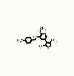 COc1ncc(C2=C(C)CN=C2C)cc1NCc1ccc(C)cc1